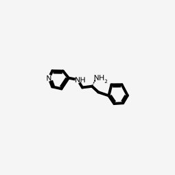 N[C@@H](CNc1ccncc1)Cc1ccccc1